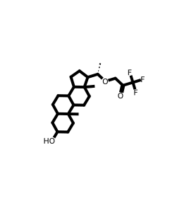 C[C@H](OCC(=O)C(F)(F)F)C1CCC2C3CCC4CC(O)CCC4(C)C3CCC21C